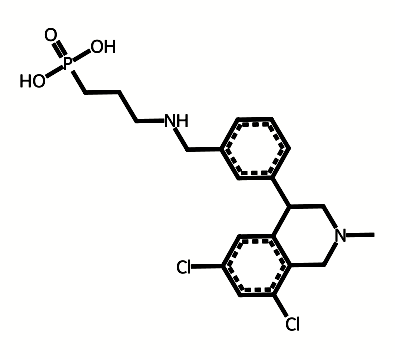 CN1Cc2c(Cl)cc(Cl)cc2C(c2cccc(CNCCCP(=O)(O)O)c2)C1